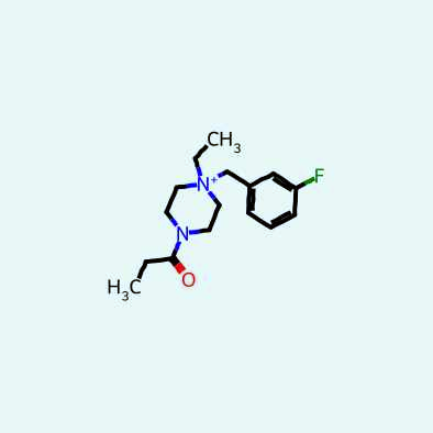 CCC(=O)N1CC[N+](CC)(Cc2cccc(F)c2)CC1